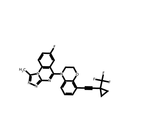 Cc1nnc2nc(N3CCOc4c(C#CC5(C(F)(F)F)CC5)cccc43)c3cc(F)ccc3n12